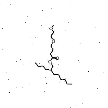 CCCCCCC(CCCC)COC(=O)CCCOCCOC